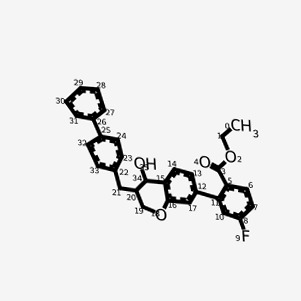 CCOC(=O)c1ccc(F)cc1-c1ccc2c(c1)OCC(Cc1ccc(-c3ccccc3)cc1)C2O